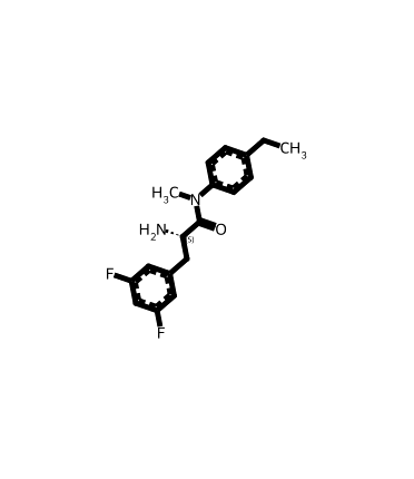 CCc1ccc(N(C)C(=O)[C@@H](N)Cc2cc(F)cc(F)c2)cc1